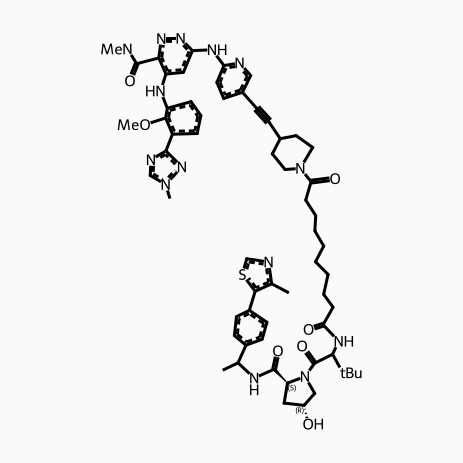 CNC(=O)c1nnc(Nc2ccc(C#CC3CCN(C(=O)CCCCCCCCC(=O)NC(C(=O)N4C[C@H](O)C[C@H]4C(=O)NC(C)c4ccc(-c5scnc5C)cc4)C(C)(C)C)CC3)cn2)cc1Nc1cccc(-c2ncn(C)n2)c1OC